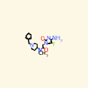 CN(C(=O)Cn1cc(F)c(N)nc1=O)C1CCN(Cc2ccccc2)CC1